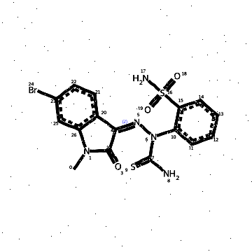 CN1C(=O)/C(=N\N(C(N)=S)c2ccccc2S(N)(=O)=O)c2ccc(Br)cc21